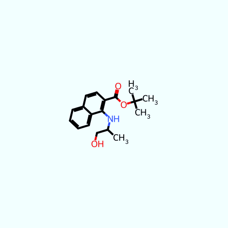 CC(CO)Nc1c(C(=O)OC(C)(C)C)ccc2ccccc12